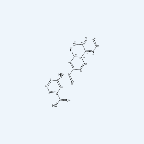 O=C(O)c1cccc(NC(=O)c2ccc(-c3ncccc3Cl)c(F)c2)c1